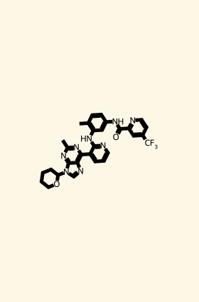 Cc1nc(-c2cccnc2Nc2cc(NC(=O)c3cc(C(F)(F)F)ccn3)ccc2C)c2ncn(C3CCCCO3)c2n1